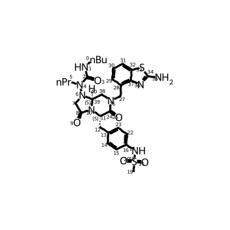 CCCCNC(=O)N(CCC)N1CC(=O)N2[C@@H](Cc3ccc(NS(C)(=O)=O)cc3)C(=O)N(Cc3cccc4sc(N)nc34)C[C@@H]21